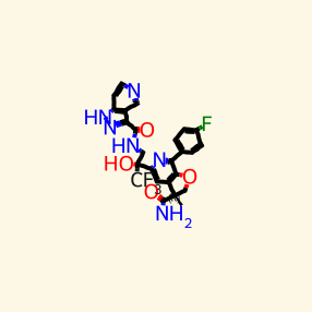 C[C@]1(C(N)=O)COc2c1cc(C(O)(CNC(=O)c1n[nH]c3ccncc13)C(F)(F)F)nc2-c1ccc(F)cc1